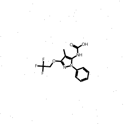 Cc1c(OCC(F)(F)F)nn(-c2ccccc2)c1NC(=O)O